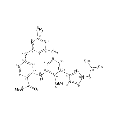 CNC(=O)c1cnc(Nc2cc(C)nc(C)n2)cc1Nc1cccc(-c2ncn(CC(F)F)n2)c1OC